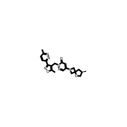 Cc1ccc(-c2noc(C)c2Cn2ncc(N3CC4(C[C@@H](C)CO4)C3)cc2=O)nn1